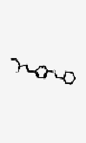 CCC(=O)/C=C/c1ccc(OCC2CCCCC2)cc1